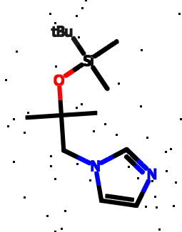 CC(C)(Cn1ccnc1)O[Si](C)(C)C(C)(C)C